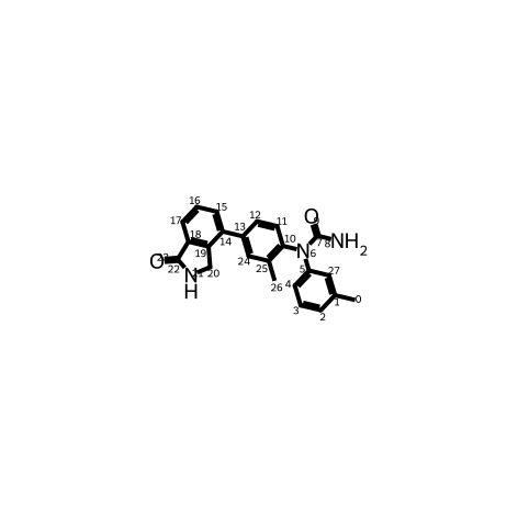 Cc1cccc(N(C(N)=O)c2ccc(-c3cccc4c3CNC4=O)cc2C)c1